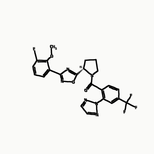 COc1c(F)cccc1-c1noc([C@@H]2CCCN2C(=O)c2ccc(C(F)(F)F)cc2-n2nccn2)n1